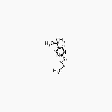 CCCSc1ncc(C(C)C)cn1